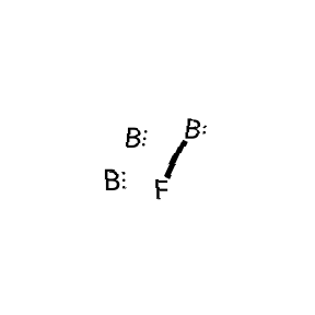 [B].[B].[B]F